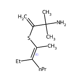 C=C(S/C(C)=C(\CC)CCC)C(C)(C)N